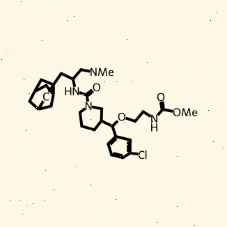 CNCC(CC12CC3CC(CC1C3)C2)NC(=O)N1CCCC(C(OCCNC(=O)OC)c2cccc(Cl)c2)C1